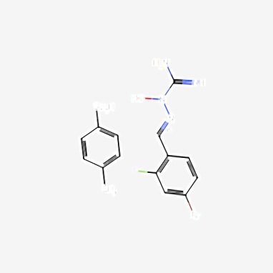 Cc1ccc(S(=O)(=O)O)cc1.N=C(N)N(O)/N=C/c1ccc(Br)cc1F